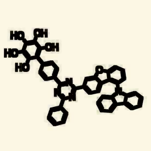 Oc1c(O)c(O)c(-c2ccc(-c3nc(-c4ccccc4)nc(-c4ccc5c(c4)oc4cccc(-n6c7ccccc7c7ccccc76)c45)n3)cc2)c(O)c1O